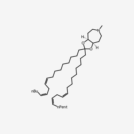 CCCC/C=C\C/C=C\CCCCCCCCC1(CCCCCCCC/C=C\C/C=C\CCCCC)O[C@H]2CCN(C)CC[C@H]2O1